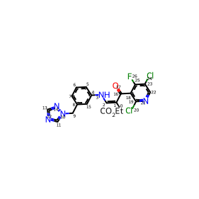 CCOC(=O)C(=CNc1cccc(Cn2cncn2)c1)C(=O)c1c(Cl)ncc(Cl)c1F